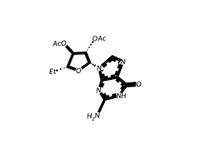 CC[C@H]1O[C@@H](n2cnc3c(=O)[nH]c(N)nc32)[C@@H](OC(C)=O)C1OC(C)=O